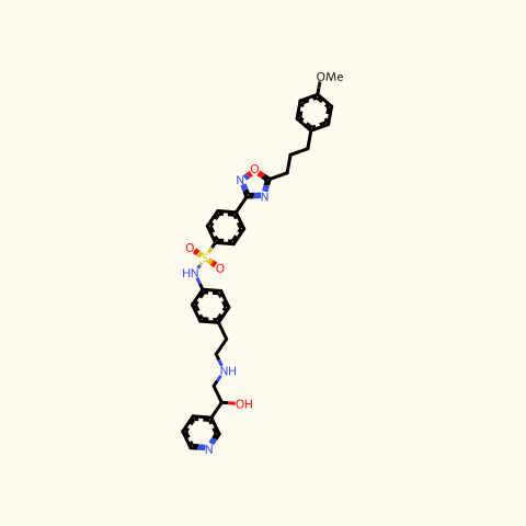 COc1ccc(CCCc2nc(-c3ccc(S(=O)(=O)Nc4ccc(CCNCC(O)c5cccnc5)cc4)cc3)no2)cc1